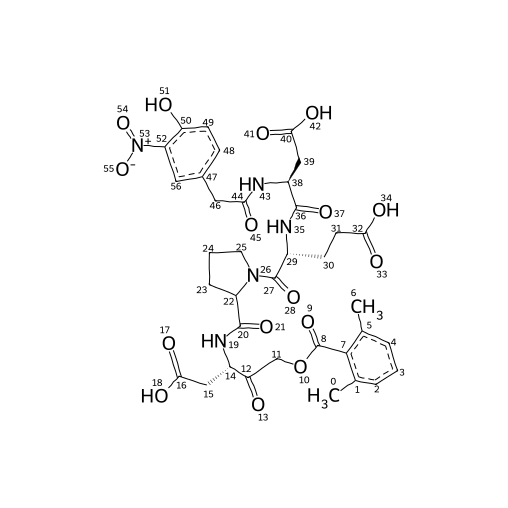 Cc1cccc(C)c1C(=O)OCC(=O)[C@H](CC(=O)O)NC(=O)C1CCCN1C(=O)[C@@H](CCC(=O)O)NC(=O)[C@H](CC(=O)O)NC(=O)Cc1ccc(O)c([N+](=O)[O-])c1